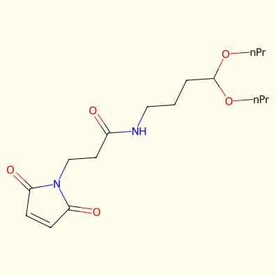 CCCOC(CCCNC(=O)CCN1C(=O)C=CC1=O)OCCC